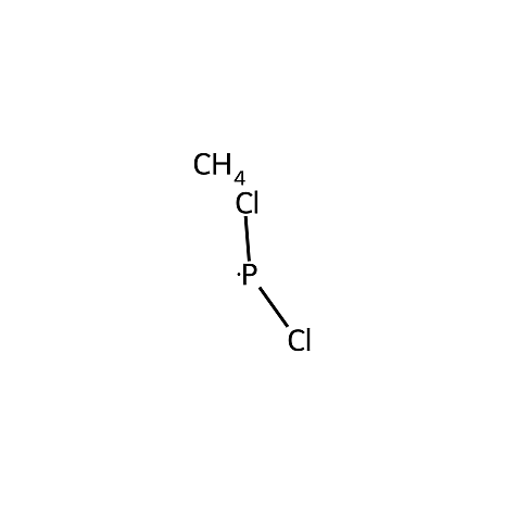 C.Cl[P]Cl